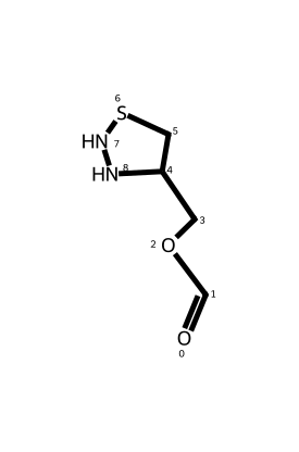 O=COCC1CSNN1